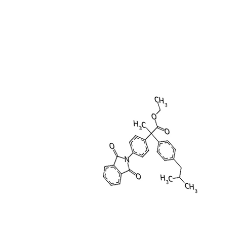 CCOC(=O)C(C)(c1ccc(CC(C)C)cc1)c1ccc(N2C(=O)c3ccccc3C2=O)cc1